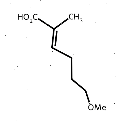 COCCC/C=C(\C)C(=O)O